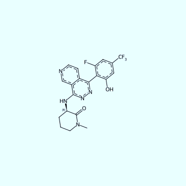 CN1CCC[C@@H](Nc2nnc(-c3c(O)cc(C(F)(F)F)cc3F)c3ccncc23)C1=O